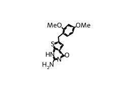 COc1ccc(Cc2cc3c(=O)nc(N)[nH]c3s2)c(OC)c1